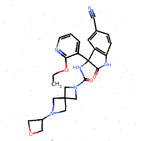 CCOc1ncccc1C1(NC(=O)N2CC3(C2)CN(C2COC2)C3)C(=O)Nc2ccc(C#N)cc21